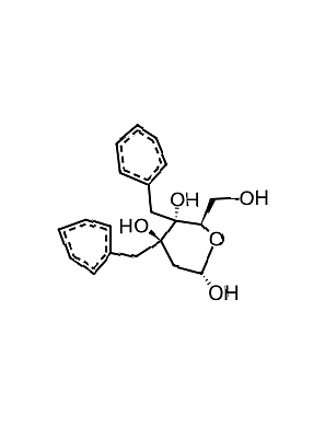 OC[C@H]1O[C@H](O)C[C@](O)(Cc2ccccc2)[C@@]1(O)Cc1ccccc1